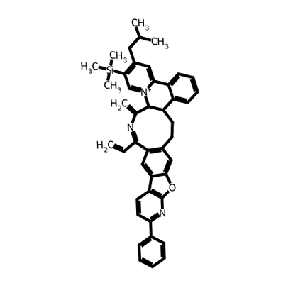 C=C/C1=N/C(=C)C2C(CCc3cc4oc5nc(-c6ccccc6)ccc5c4cc31)c1ccccc1-c1cc(CC(C)C)c([Si](C)(C)C)c[n+]12